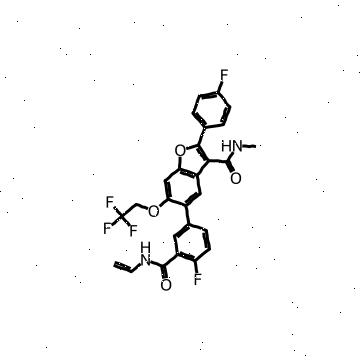 C=CNC(=O)c1cc(-c2cc3c(C(=O)NC)c(-c4ccc(F)cc4)oc3cc2OCC(F)(F)F)ccc1F